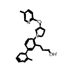 Cc1ccc(O[C@H]2CCN(c3ccc(-c4ccccc4C)cc3CCCO)C2)nc1